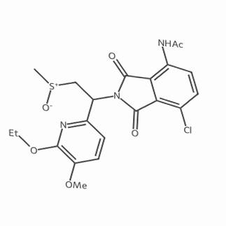 CCOc1nc(C(C[S+](C)[O-])N2C(=O)c3c(Cl)ccc(NC(C)=O)c3C2=O)ccc1OC